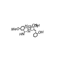 COc1ccc2c(c1)C(=N)C[C@@H]1[C@@H]2CC[C@]2(C)[C@@H](O)C(=Cc3ccccc3O)C[C@@H]12